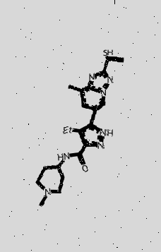 C=C(S)c1nc2c(C)cc(-c3[nH]nc(C(=O)NC4CCN(C)CC4)c3CC)cn2n1